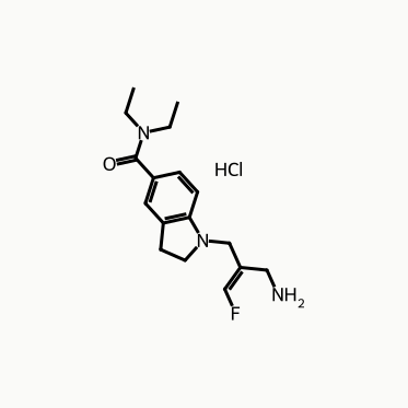 CCN(CC)C(=O)c1ccc2c(c1)CCN2CC(=CF)CN.Cl